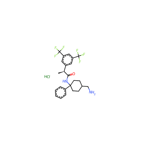 C[C@H](C(=O)NC1(c2ccccc2)CCC(CN)CC1)c1cc(C(F)(F)F)cc(C(F)(F)F)c1.Cl